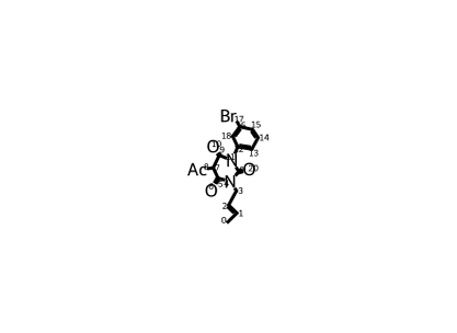 CC=CCN1C(=O)C(C(C)=O)C(=O)N(c2cccc(Br)c2)C1=O